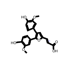 COc1cc(-c2cc(/C=C/C(=O)O)oc2-c2ccc(O)c(OC)c2)ccc1O